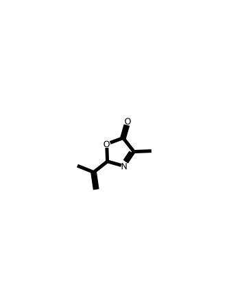 C=C(C)C1N=C(C)C(=O)O1